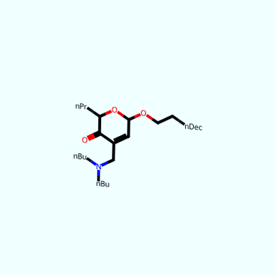 CCCCCCCCCCCCOC1C=C(CN(CCCC)CCCC)C(=O)C(CCC)O1